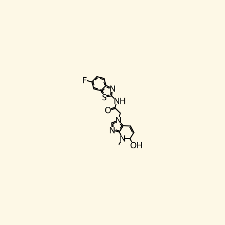 CN1c2ncn(CC(=O)Nc3nc4ccc(F)cc4s3)c2C=CC1O